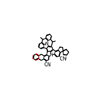 CC1c2cccc3c2-n2c4c1cccc4c1c4c5c6c(c(C#N)cc5n5c7cc(C#N)c8c(c7c(c(c12)C3C)c45)CCC81CCCC1)C1c2ccccc2C6c2ccccc21